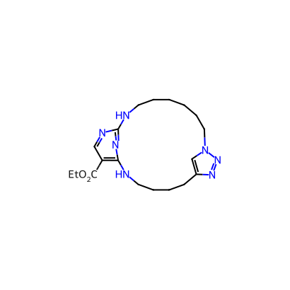 CCOC(=O)c1cnc2nc1NCCCCc1cn(nn1)CCCCCCN2